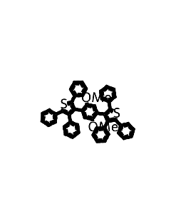 COc1cc(-c2c(-c3ccccc3)sc(-c3ccccc3)c2-c2ccccc2)c(OC)cc1-c1c(-c2ccccc2)sc(-c2ccccc2)c1-c1ccccc1